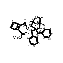 COC(=O)C1C2C=CC(C2)C1C(=O)O[C@@H]1[C@@H]2OC[C@H](CC1(Cc1ccccc1)Cc1ccccc1)O2